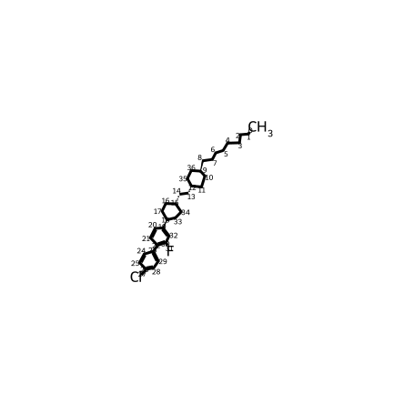 CCCCCCCCC[C@H]1CC[C@H](CC[C@H]2CC[C@H](c3ccc(-c4ccc(Cl)cc4)c(F)c3)CC2)CC1